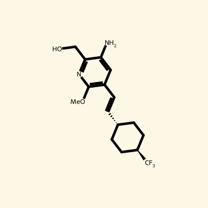 COc1nc(CO)c(N)cc1/C=C/[C@H]1CC[C@H](C(F)(F)F)CC1